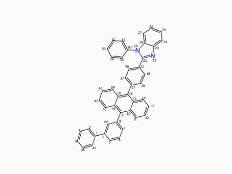 c1ccc(-c2cccc(-c3c4ccccc4c(-c4ccc(-c5nc6ccccc6n5-c5ccccc5)cc4)c4ccccc34)c2)cc1